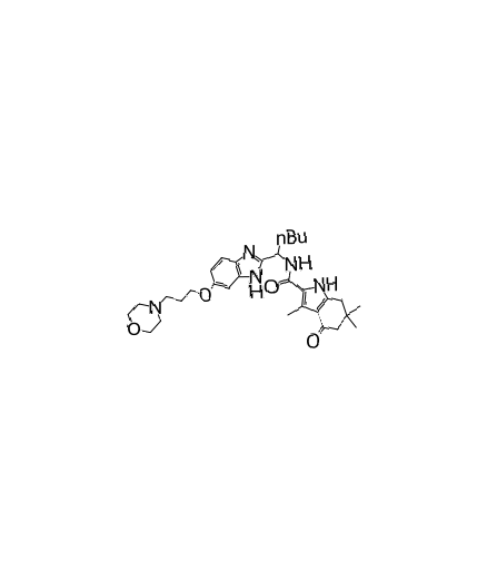 CCCCC(NC(=O)c1[nH]c2c(c1C)C(=O)CC(C)(C)C2)c1nc2ccc(OCCCN3CCOCC3)cc2[nH]1